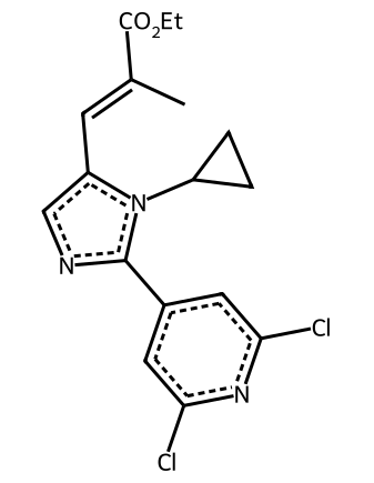 CCOC(=O)C(C)=Cc1cnc(-c2cc(Cl)nc(Cl)c2)n1C1CC1